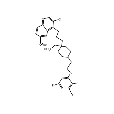 COc1ccc2ncc(Cl)c(CCCC3(CC(=O)O)CCN(CCSc4cc(F)cc(F)c4F)CC3)c2c1